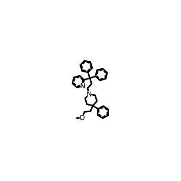 COCCC1(c2ccccc2)CCN(CCC(c2ccccc2)(c2ccccc2)c2ccccn2)CC1